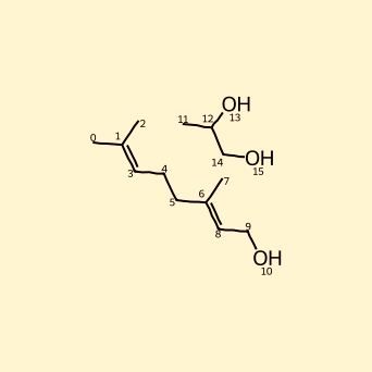 CC(C)=CCC/C(C)=C/CO.CC(O)CO